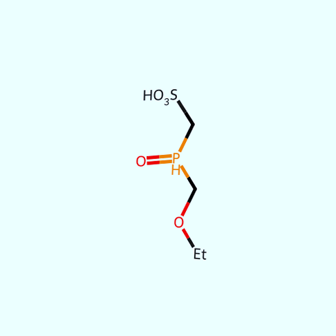 CCOC[PH](=O)CS(=O)(=O)O